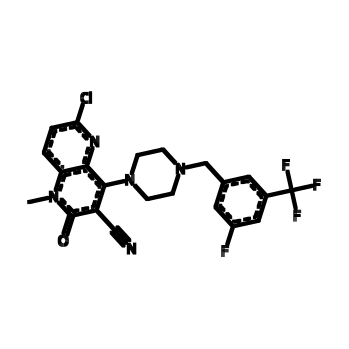 Cn1c(=O)c(C#N)c(N2CCN(Cc3cc(F)cc(C(F)(F)F)c3)CC2)c2nc(Cl)ccc21